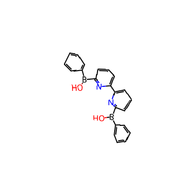 OB(c1ccccc1)c1cccc(-c2cccc(B(O)c3ccccc3)n2)n1